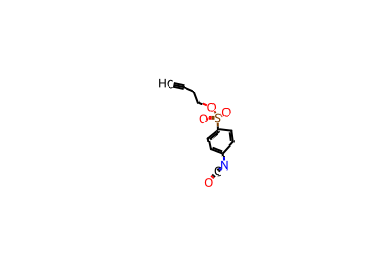 C#CCCOS(=O)(=O)c1ccc(N=C=O)cc1